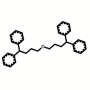 c1ccc(C(CCCOCCCC(c2ccccc2)c2ccccc2)c2ccccc2)cc1